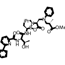 COC(=O)[C@@H](C)CN(C[C@H]1C(=O)OB([C@H](CC(C)C)NC(=O)[C@@H](NC(=O)c2cccc(-c3ccccc3)n2)[C@@H](C)O)N1C)c1ccccc1